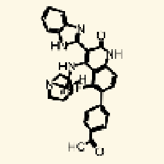 O=C(O)c1ccc(-c2ccc3[nH]c(=O)c(-c4nc5ccccc5[nH]4)c(N[C@H]4CN5CCC4CC5)c3c2F)cc1